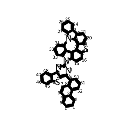 c1ccc2c(c1)ccc1c(-c3nc(-n4c5ccc6sc7ccc8c9ccccc9n9c%10cccc4c%10c5c6c7c89)nc4c3sc3ccccc34)cccc12